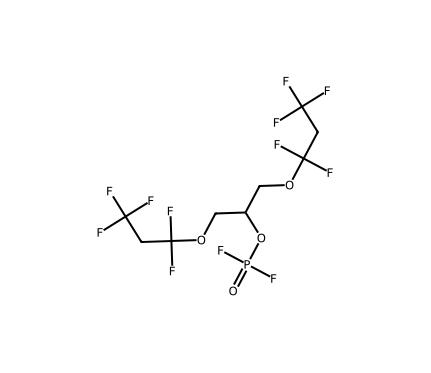 O=P(F)(F)OC(COC(F)(F)CC(F)(F)F)COC(F)(F)CC(F)(F)F